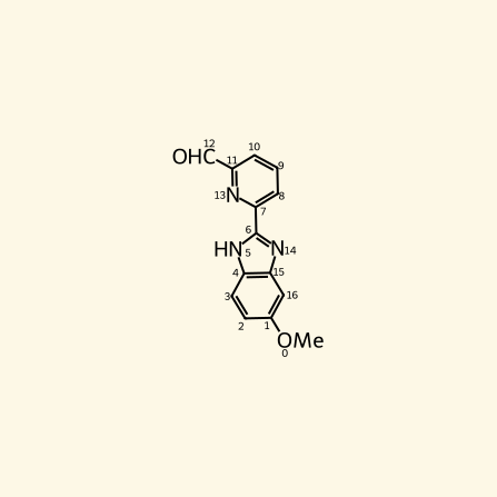 COc1ccc2[nH]c(-c3cccc(C=O)n3)nc2c1